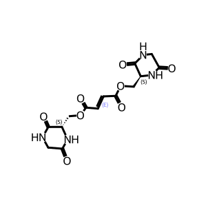 O=C1CNC(=O)[C@H](COC(=O)/C=C/C(=O)OC[C@@H]2NC(=O)CNC2=O)N1